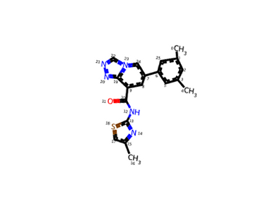 Cc1cc(C)cc(-c2cc(C(=O)Nc3nc(C)cs3)c3nncn3c2)c1